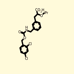 CC(C)OC(Cc1cccc(CNC(=O)OCc2ccc(Cl)cc2Cl)c1)C(=O)O